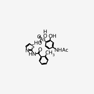 CC(=O)Nc1ccc([As](=O)(O)O)c(O)c1.Cc1ccccc1C(=O)Nc1nccs1